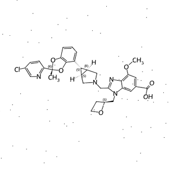 COc1cc(C(=O)O)cc2c1nc(CN1C[C@@H]3[C@H](C1)[C@H]3c1cccc3c1O[C@](C)(c1ccc(Cl)cn1)O3)n2C[C@@H]1CCO1